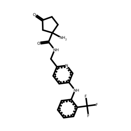 NC1(C(=O)NCc2ccc(Nc3ccccc3C(F)(F)F)cn2)CCC(=O)C1